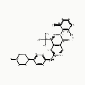 CN1CCN(c2ccc(Nc3ncc4c(=O)n(-c5c(Cl)cccc5Cl)nc(C(F)(F)F)c4n3)cc2)CC1